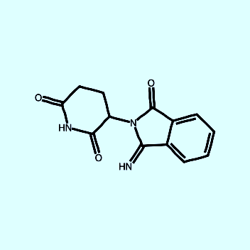 N=C1c2ccccc2C(=O)N1C1CCC(=O)NC1=O